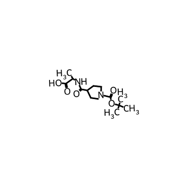 CC(NC(=O)C1CCN(C(=O)OC(C)(C)C)CC1)C(=O)O